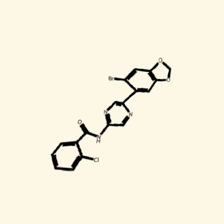 O=C(Nc1cnc(-c2cc3c(cc2Br)OCO3)cn1)c1ccccc1Cl